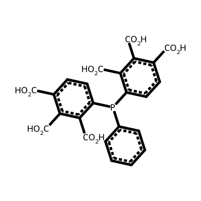 O=C(O)c1ccc(P(c2ccccc2)c2ccc(C(=O)O)c(C(=O)O)c2C(=O)O)c(C(=O)O)c1C(=O)O